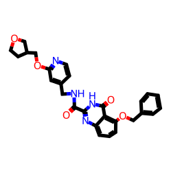 O=C(NCc1ccnc(OCC2CCOC2)c1)c1nc2cccc(OCc3ccccc3)c2c(=O)[nH]1